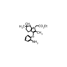 CCOC(=O)Cn1c(C)c(Sc2ccccc2N)c2c1CC(C)(C)CC2